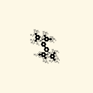 CC(C)(C)c1ccc(OP(Oc2ccc(C(C)(C)C)cc2C(C)(C)C)c2ccc(C3=CCC(P(Oc4ccc(C(C)(C)C)cc4C(C)(C)C)Oc4ccc(C(C)(C)C)cc4C(C)(C)C)C=C3)cc2)c(C(C)(C)C)c1